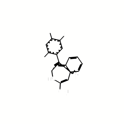 CCOC(=O)C1=CC23C(=CCN1)C=CC=C2NCC3C(=O)c1cc(F)c(F)cc1F